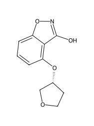 Oc1noc2cccc(O[C@@H]3CCOC3)c12